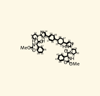 COC(=O)N[C@H](C(=O)N1CCC[C@H]1c1ncc(-c2ccc(C3CCC(c4cnc([C@@H]5CCCN5C(=O)[C@@H](NC(=O)OC)c5ccccc5)[nH]4)CC3)cc2)[nH]1)c1ccccc1